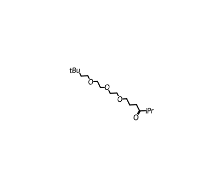 CC(C)C(=O)CCCOCCOCCOCCC(C)(C)C